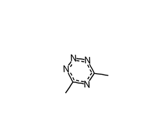 Cc1nnnc(C)n1